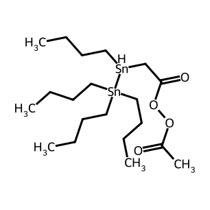 CCC[CH2][SnH]([CH2]C(=O)OOC(C)=O)[Sn]([CH2]CCC)([CH2]CCC)[CH2]CCC